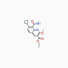 CCOC(=O)c1cc2ccc(C3CCC3)c(C(=O)NC)c2nc1OC